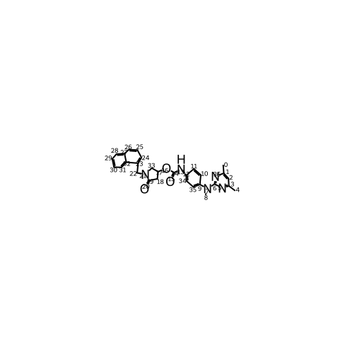 Cc1cc(C)nc(N(C)c2ccc(NC(=O)OC3CC(=O)N(Cc4cccc5ccccc45)C3)cc2)n1